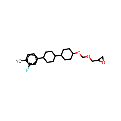 N#Cc1ccc(C2CCC(C3CCC(OCOCC4CO4)CC3)CC2)cc1F